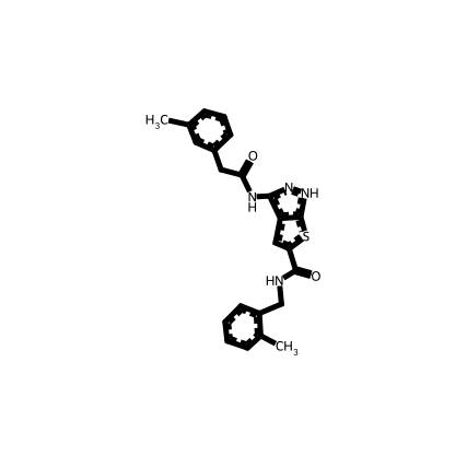 Cc1cccc(CC(=O)Nc2n[nH]c3sc(C(=O)NCc4ccccc4C)cc23)c1